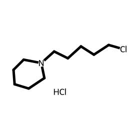 Cl.ClCCCCCN1CCCCC1